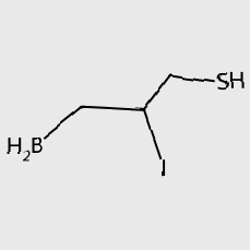 BCC(I)CS